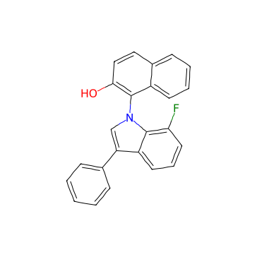 Oc1ccc2ccccc2c1-n1cc(-c2ccccc2)c2cccc(F)c21